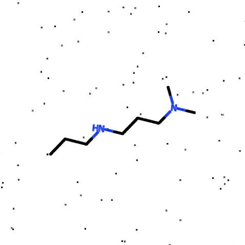 [CH2]CCNCCCN(C)C